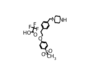 CS(=O)(=O)c1ccc(OCCc2ccc(CN3CCNCC3)cc2)cc1.O=C(O)C(F)(F)F